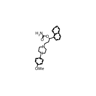 COc1ccc(N2CCN(CCC(OC(N)=O)c3cccc4ccccc34)CC2)cc1